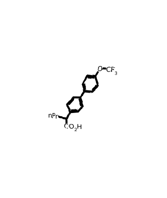 CCCC(C(=O)O)c1ccc(-c2ccc(OC(F)(F)F)cc2)cc1